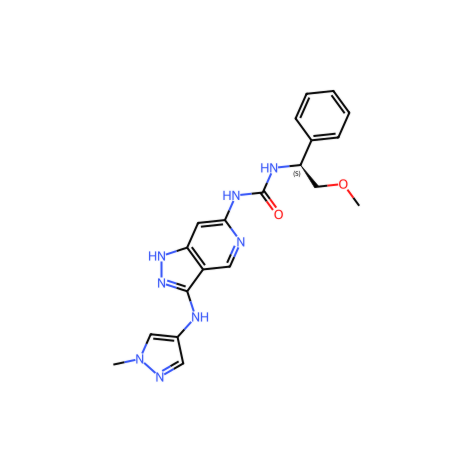 COC[C@@H](NC(=O)Nc1cc2[nH]nc(Nc3cnn(C)c3)c2cn1)c1ccccc1